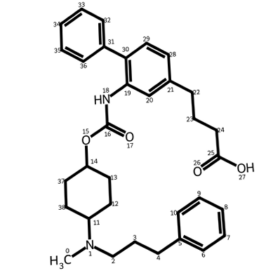 CN(CCCc1ccccc1)C1CCC(OC(=O)Nc2cc(CCCC(=O)O)ccc2-c2ccccc2)CC1